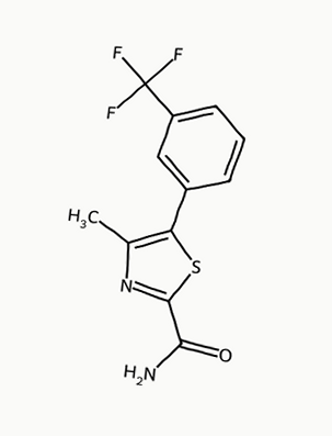 Cc1nc(C(N)=O)sc1-c1cccc(C(F)(F)F)c1